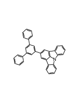 c1ccc(-c2cc(-c3ccccc3)cc(-c3cc4c5ccccc5n5c6ccccc6c(c3)c45)c2)cc1